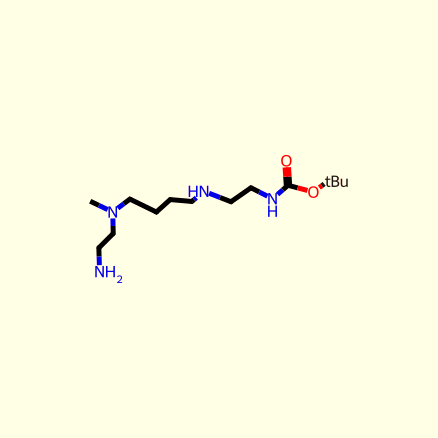 CN(CCN)CCCCNCCNC(=O)OC(C)(C)C